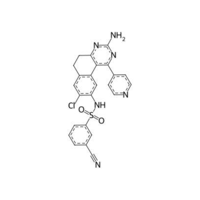 N#Cc1cccc(S(=O)(=O)Nc2cc3c(cc2Cl)CCc2nc(N)nc(-c4ccncc4)c2-3)c1